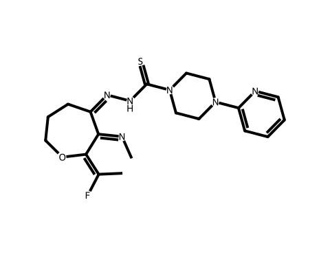 C/N=C1C(=N\NC(=S)N2CCN(c3ccccn3)CC2)/CCCOC/1=C(/C)F